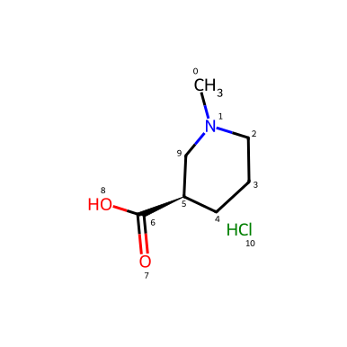 CN1CCC[C@@H](C(=O)O)C1.Cl